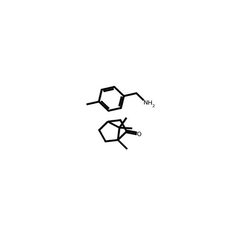 CC12CCC(CC1=O)C2(C)C.Cc1ccc(CN)cc1